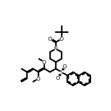 C=C/C(C)=C\C(OC)=C(\CC(C1CCN(C(=O)OC(C)(C)C)CC1)S(=O)(=O)c1ccc2ccccc2c1)OC